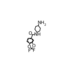 NC1CCC(NC(=O)c2ccc3c(c2)OC(F)(F)O3)CC1